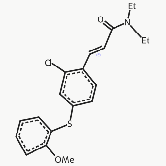 CCN(CC)C(=O)/C=C/c1ccc(Sc2ccccc2OC)cc1Cl